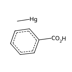 O=C(O)c1ccccc1.[CH3][Hg]